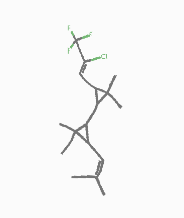 CC(C)=CC1C(C2C(C=C(Cl)C(F)(F)F)C2(C)C)C1(C)C